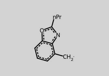 [CH2]c1cccc2oc(CCC)nc12